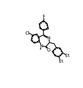 CCc1ccc(CC2N=C(c3ccc(F)cc3)c3cc(Cl)ccc3N(C)C2=O)cc1CC